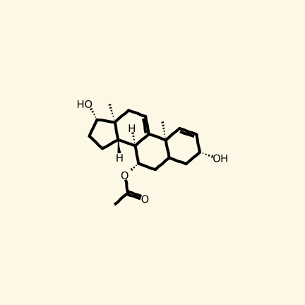 CC(=O)O[C@H]1CC2C[C@@H](O)C=C[C@]2(C)C2=CC[C@]3(C)[C@@H](O)CC[C@H]3[C@@H]21